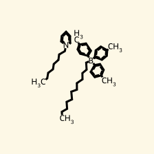 CCCCCCCCCCCC[B-](c1ccc(C)cc1)(c1ccc(C)cc1)c1ccc(C)cc1.CCCCCCCC[n+]1ccccc1